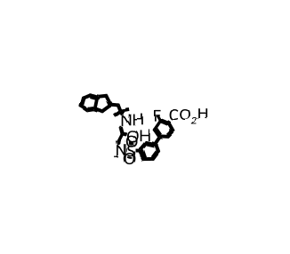 CN(CC(O)CNC(C)(C)CC1Cc2ccccc2C1)S(=O)(=O)c1cccc(-c2ccc(C(=O)O)c(F)c2)c1